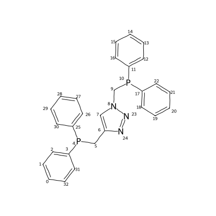 c1ccc(P(Cc2cn(CP(c3ccccc3)c3ccccc3)nn2)c2ccccc2)cc1